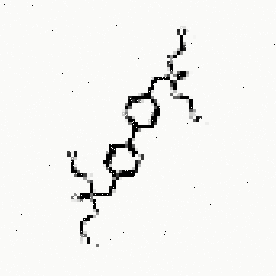 CCOP(=O)(Cc1ccc(-c2ccc(CP(=O)(OCC)OCC)cn2)nc1)OCC